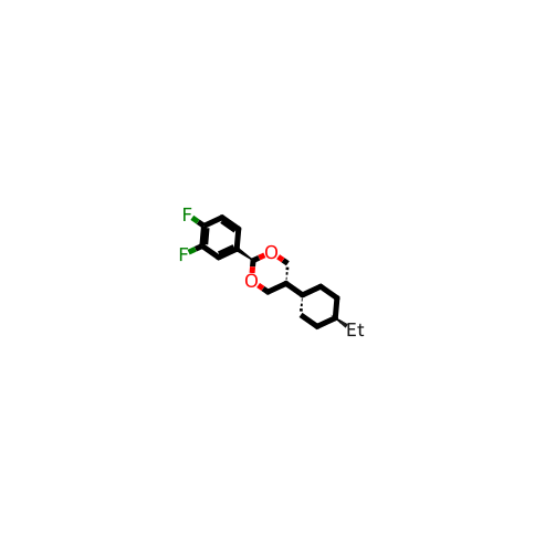 CC[C@H]1CC[C@H]([C@H]2CO[C@H](c3ccc(F)c(F)c3)OC2)CC1